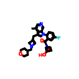 Cc1cncc2c1c(CC1CN(CC3CCOCC3)C1)cn2-c1ccc(F)cc1C(=O)N1CC2(O)CC1C2